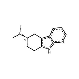 CN(C)[C@@H]1CCc2[nH]c3ncccc3c2C1